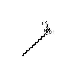 CCCCCCCCCCCCCCCCOP(=O)(O)OCCNC